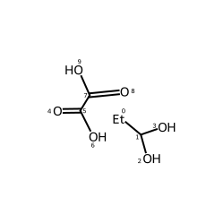 CCC(O)O.O=C(O)C(=O)O